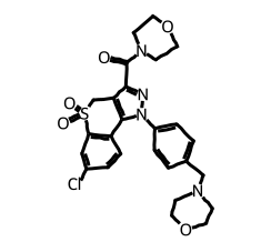 O=C(c1nn(-c2ccc(CN3CCOCC3)cc2)c2c1CS(=O)(=O)c1cc(Cl)ccc1-2)N1CCOCC1